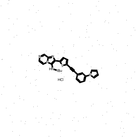 CC(C)(C)Nc1c(-c2ccc(C#Cc3cccc(-n4cccc4)c3)s2)nc2cnccn12.Cl